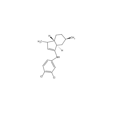 CC1C=C(Nc2ccc(Cl)c(Cl)c2)[C@@H]2C[C@H](C)CC[C@@H]12